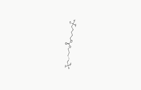 O=C(OCCCCCC(F)(F)F)OCCCCCC(F)(F)F